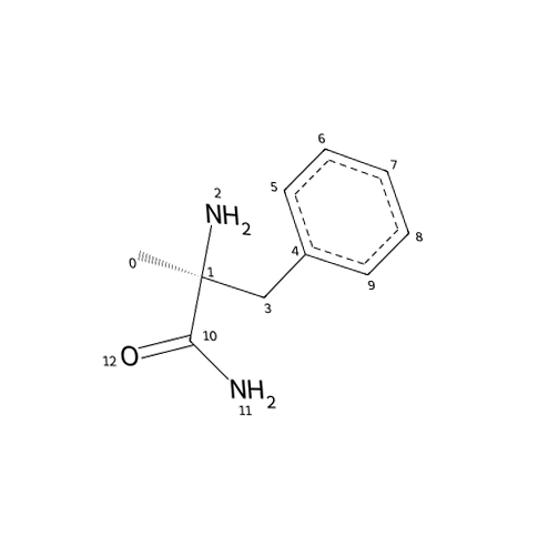 C[C@](N)(Cc1ccccc1)C(N)=O